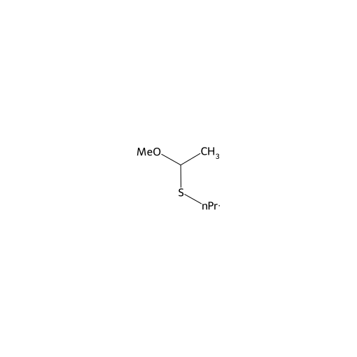 CC[CH]SC(C)OC